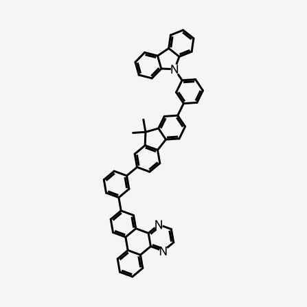 CC1(C)c2cc(-c3cccc(-c4ccc5c6ccccc6c6nccnc6c5c4)c3)ccc2-c2ccc(-c3cccc(-n4c5ccccc5c5ccccc54)c3)cc21